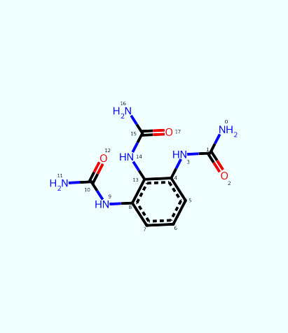 NC(=O)Nc1cccc(NC(N)=O)c1NC(N)=O